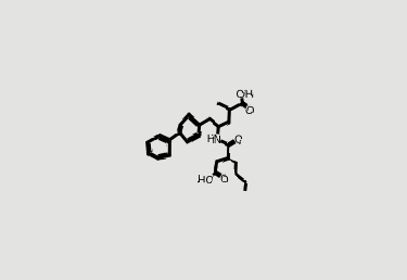 CCCC[C@@H](CC(=O)O)C(=O)NC(Cc1ccc(-c2ccccc2)cc1)CC(C)C(=O)O